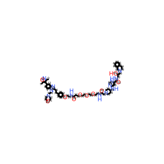 Cc1noc(C)c1-c1ccc2c(c1)nc(CCc1ccc(OCCNC(=O)CCOCCOCCOCCNC(=O)CN3CCC(Nc4cc(C(=O)NC[C@H](O)CN5CCc6ccccc6C5)ncn4)CC3)cc1)n2CCN1CCOCC1